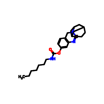 CCCCCCCNC(=O)Oc1ccc2c(c1)N=C1C3CC4CC(C3)CC(C4)N1C2